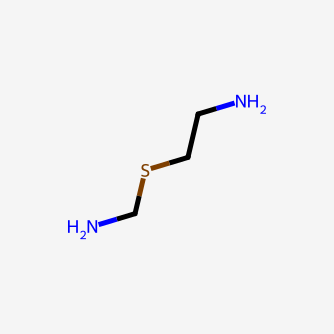 NCCSCN